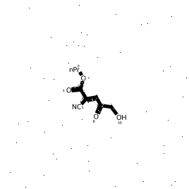 CCCOC(=O)C(C#N)=CC(=O)CO